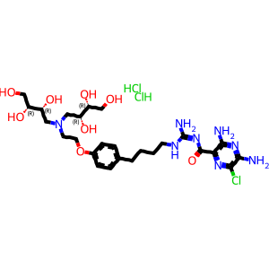 Cl.Cl.NC(=NC(=O)c1nc(Cl)c(N)nc1N)NCCCCc1ccc(OCCN(C[C@@H](O)[C@H](O)CO)C[C@@H](O)[C@H](O)CO)cc1